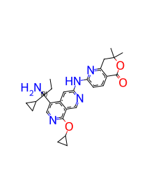 CC[C@](N)(c1cnc(OC2CC2)c2cnc(Nc3ccc4c(n3)CC(C)(C)OC4=O)cc12)C1CC1